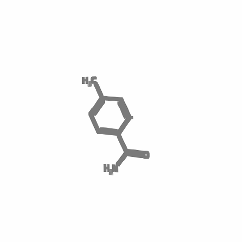 Cc1c[c]c(C(N)=O)cc1